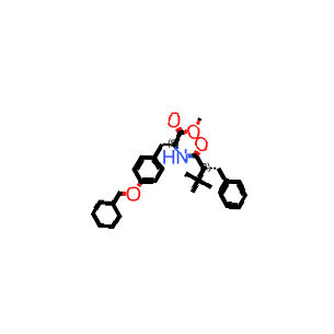 COC(=O)[C@H](Cc1ccc(OCC2CCCCC2)cc1)NC(=O)[C@H](Cc1ccccc1)C(C)(C)C